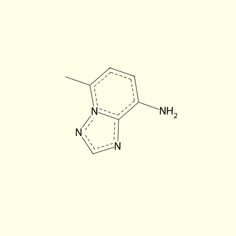 Cc1ccc(N)c2ncnn12